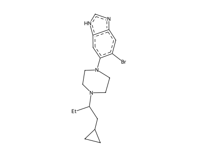 CCC(CC1CC1)N1CCN(c2cc3[nH]cnc3cc2Br)CC1